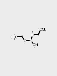 OP(OCC(Cl)(Cl)Cl)OCC(Cl)(Cl)Cl